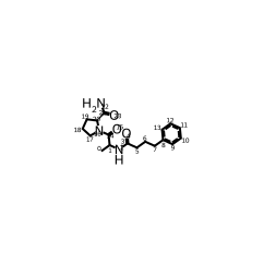 CC(NC(=O)CCCc1ccccc1)C(=O)N1CCC[C@H]1C(N)=O